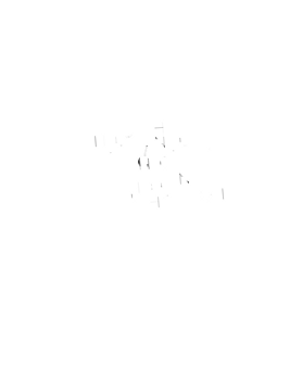 C=CC(=O)NC(C)(C)C[N+](CO)(CO)CO.[Cl-]